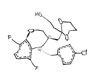 OCCC1(C[C@@H]2COc3c(F)ccc(F)c3[C@H]2Cc2ccc(Cl)cc2)OCCO1